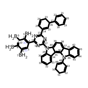 BC/C(B)=C(\C=C(\B)C(B)=C)c1nc(C2=CC(c3ccccc3)CC=C2)nc(-n2c3ccccc3c3c4c(ccc32)c2ccccc2n4C2=CCCC=C2)n1